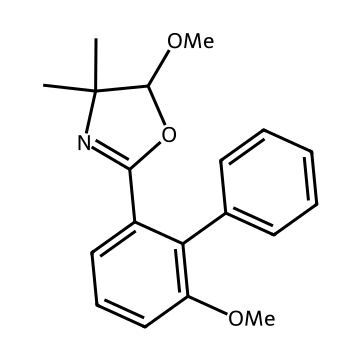 COc1cccc(C2=NC(C)(C)C(OC)O2)c1-c1ccccc1